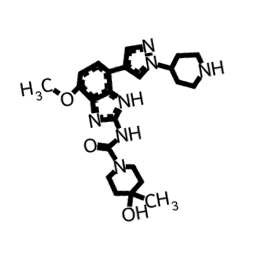 COc1ccc(-c2cnn(C3CCNCC3)c2)c2[nH]c(NC(=O)N3CCC(C)(O)CC3)nc12